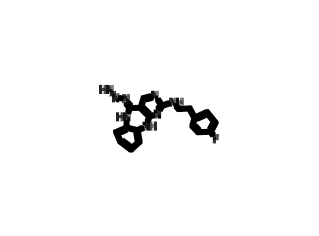 N=N/N=C1\Nc2ccccc2Nc2nc(NCCc3ccc(F)cc3)ncc21